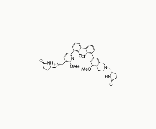 COc1cc(-c2cccc(-c3cccc(-c4ccc(CNC[C@H]5CCC(=O)N5)c(OC)n4)c3Cl)c2Cl)cc2c1CCN(C[C@@H]1CCC(=O)N1)C2